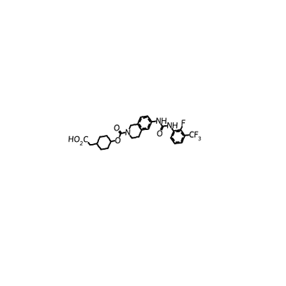 O=C(O)CC1CCC(OC(=O)N2CCc3cc(NC(=O)Nc4cccc(C(F)(F)F)c4F)ccc3C2)CC1